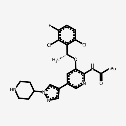 CCCCC(=O)Nc1ncc(-c2cnn(C3CCNCC3)c2)cc1O[C@H](C)c1c(Cl)ccc(F)c1Cl